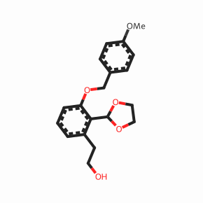 COc1ccc(COc2cccc(CCO)c2C2OCCO2)cc1